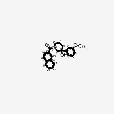 COc1cccc(C2(O)CCCN(C(=O)c3ccc4ccccc4c3)C2)c1